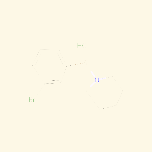 Brc1cccc(SN2CCCCC2)c1.Cl